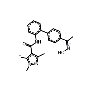 C/C(=N/O)c1ccc(-c2ccccc2NC(=O)c2c(C)nn(C)c2F)cc1